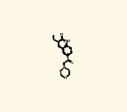 CCc1cc2cc(C(=O)CN3CCOCC3)ccc2[nH]c1=O